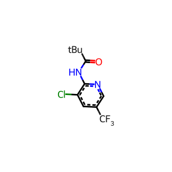 CC(C)(C)C(=O)Nc1ncc(C(F)(F)F)cc1Cl